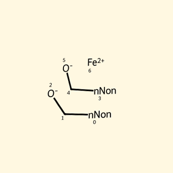 CCCCCCCCCC[O-].CCCCCCCCCC[O-].[Fe+2]